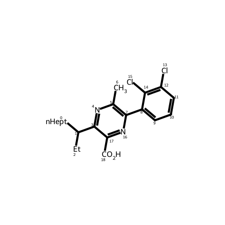 CCCCCCCC(CC)c1nc(C)c(-c2cccc(Cl)c2Cl)nc1C(=O)O